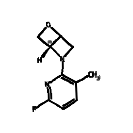 Cc1ccc(F)nc1N1CC2OC[C@H]21